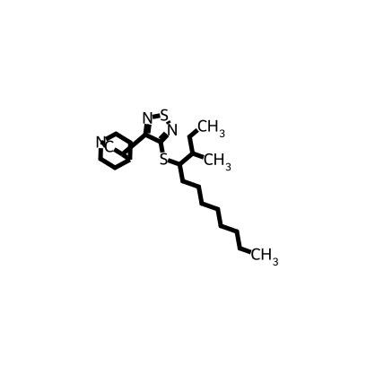 CCCCCCCCC(Sc1nsnc1C1CN2CCC1CC2)C(C)CC